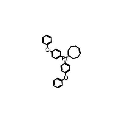 C1=CCC[C]([Pt]([c]2ccc(Oc3ccccc3)cc2)[c]2ccc(Oc3ccccc3)cc2)=CCC1